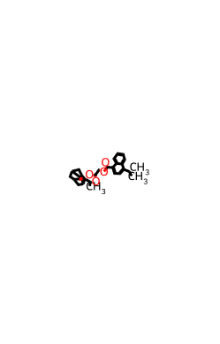 CCC1(OC(=O)COC(=O)c2ccc(C(C)C)c3ccccc23)C2CC3CC(C2)CC1C3